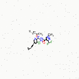 CC(C)O/N=C(/CNC(=O)c1cn(C)nc1C(F)F)c1ncc(C#CC2CC2)cc1Cl